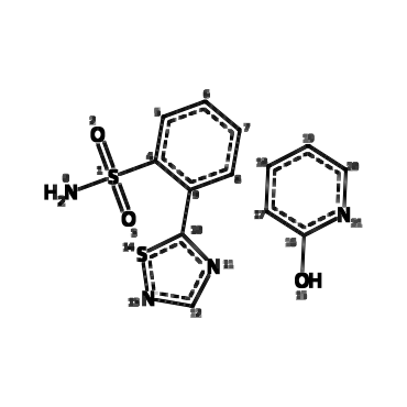 NS(=O)(=O)c1ccccc1-c1ncns1.Oc1ccccn1